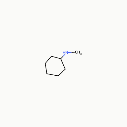 CNC1C[CH]CCC1